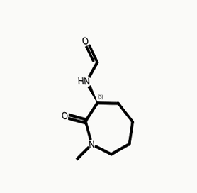 CN1CCCC[C@H](NC=O)C1=O